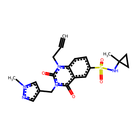 C#CCn1c(=O)n(Cc2cnn(C)c2)c(=O)c2cc(S(=O)(=O)NC3(C)CC3)ccc21